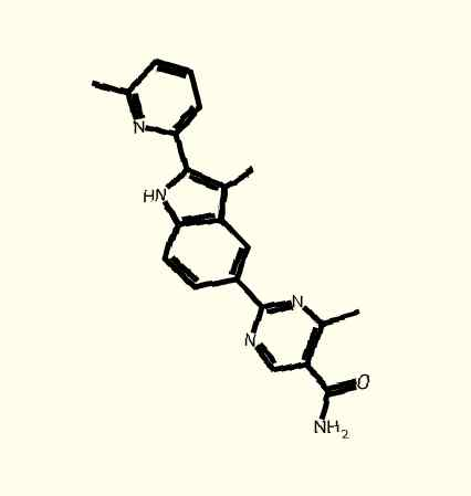 Cc1cccc(-c2[nH]c3ccc(-c4ncc(C(N)=O)c(C)n4)cc3c2C)n1